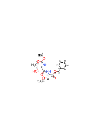 C[C@@H](O)[C@H](NC(=O)OC(C)(C)C)C(=O)N[C@@H](COC(C)(C)C)C(=O)OCc1ccccc1